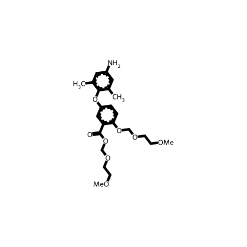 COCCOCOC(=O)c1cc(Oc2c(C)cc(N)cc2C)ccc1OCOCCOC